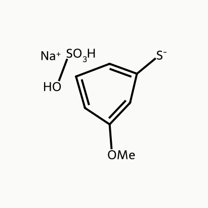 COc1cccc([S-])c1.O=S(=O)(O)O.[Na+]